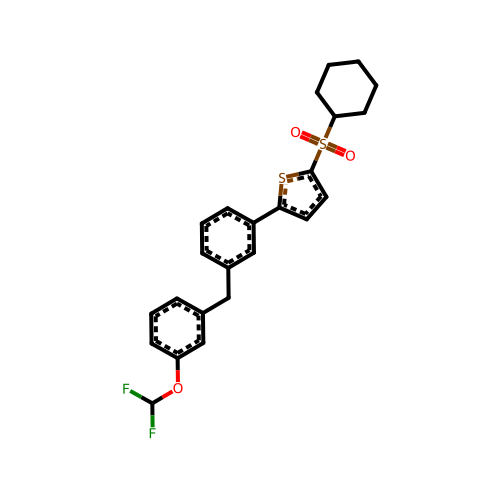 O=S(=O)(c1ccc(-c2cccc(Cc3cccc(OC(F)F)c3)c2)s1)C1CCCCC1